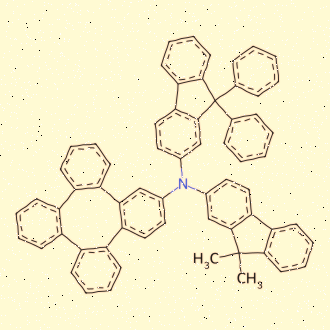 CC1(C)c2ccccc2-c2ccc(N(c3ccc4c(c3)-c3ccccc3-c3ccccc3-c3ccccc3-4)c3ccc4c(c3)C(c3ccccc3)(c3ccccc3)c3ccccc3-4)cc21